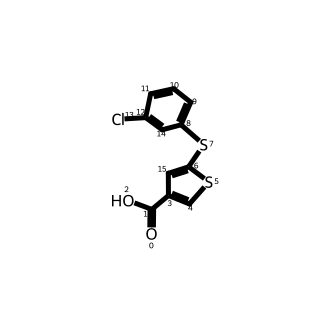 O=C(O)c1csc(Sc2cccc(Cl)c2)c1